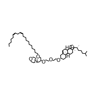 CCCCC/C=C\C/C=C\CCCCCCCCCCOCC(CN1CCOCC1)OCCOCCO[C@H]1CC[C@@]2(C)C(=CC[C@H]3[C@@H]4CC[C@H]([C@H](C)CCCC(C)C)[C@@]4(C)CC[C@@H]32)C1